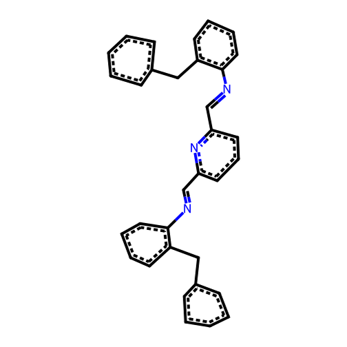 C(=N\c1ccccc1Cc1ccccc1)/c1cccc(/C=N/c2ccccc2Cc2ccccc2)n1